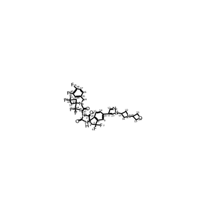 O=C1N[C@]2(CC(F)(F)c3cc(-c4cnn(C5CN(C6COC6)C5)c4)ccc32)C(=O)N1CC(=O)N(Cc1ccc(F)c(F)c1)C1(C(F)(F)F)CC(F)(F)C1